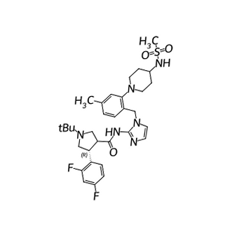 Cc1ccc(Cn2ccnc2NC(=O)C2CN(C(C)(C)C)C[C@H]2c2ccc(F)cc2F)c(N2CCC(NS(C)(=O)=O)CC2)c1